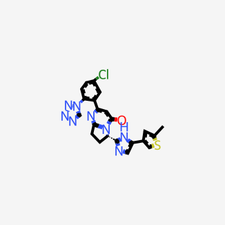 Cc1cc(-c2cnc([C@@H]3CCc4nc(-c5cc(Cl)ccc5-n5cnnn5)cc(=O)n43)[nH]2)cs1